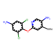 CNc1cc(Oc2c(Cl)cc(N)cc2Cl)ncc1N